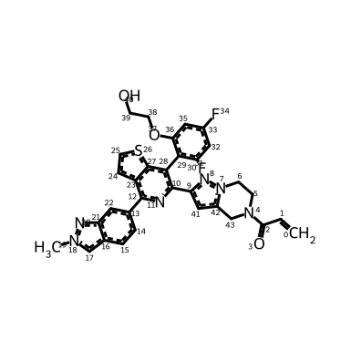 C=CC(=O)N1CCn2nc(-c3nc(-c4ccc5cn(C)nc5c4)c4ccsc4c3-c3c(F)cc(F)cc3OCCO)cc2C1